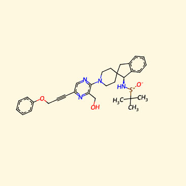 CC(C)(C)[S+]([O-])N[C@@H]1c2ccccc2CC12CCN(c1ncc(C#CCOc3ccccc3)nc1CO)CC2